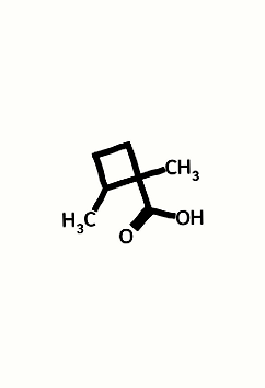 CC1CCC1(C)C(=O)O